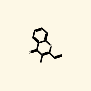 C=Cc1sc2ccccc2c(=O)c1C